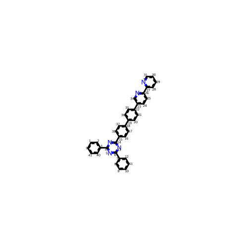 c1ccc(-c2nc(-c3ccccc3)nc(-c3ccc(-c4ccc(-c5ccc(-c6ccccn6)nc5)cc4)cc3)n2)cc1